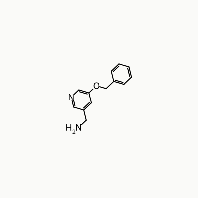 NCc1cncc(OCc2ccccc2)c1